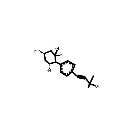 [2H][C@@H]1C[C@@H](CCC)CC([2H])([2H])C1c1ccc(C#CC(C)(C)O)cc1